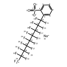 O=S(=O)([O-])c1ccccc1C(F)(F)C(F)(F)C(F)(F)C(F)(F)C(F)(F)C(F)(F)C(F)(F)C(F)(F)C(F)(F)F.[Na+]